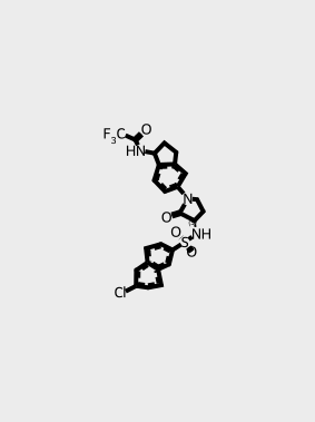 O=C1[C@@H](NS(=O)(=O)c2ccc3cc(Cl)ccc3c2)CCN1c1ccc2c(c1)CCC2NC(=O)C(F)(F)F